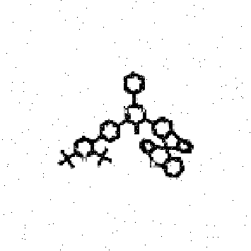 C=C1C(c2ccc(-c3ccc(C(C)(C)C)nc3C(C)(C)C)cc2)=NC(c2ccccc2)=NC1c1ccc2c(c1)C1(c3ccccc3Oc3ccccc31)c1ccccc1-2